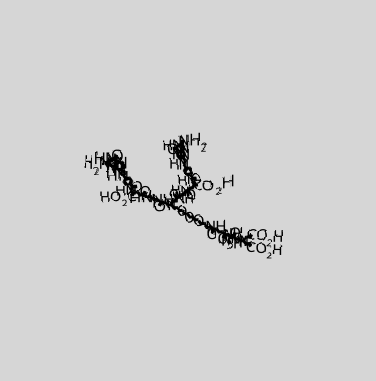 Nc1nc2nc(CNc3ccc(C(=O)NC(CCC(=O)NCCNC(=O)CCN(CCCOCCOCCOCCCNC(=O)CCCC(=O)N[C@@H](CS)C(=O)NCCN(CCC(=O)O)CCC(=O)O)CCC(=O)NCCNC(=O)CCC(NC(=O)c4ccc(NCc5cnc6c(=O)[nH]c(N)nc6n5)cc4)C(=O)O)C(=O)O)cc3)cnc2c(=O)[nH]1